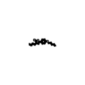 CCCCCOc1ccc(C2CC(CCCC)C(=O)O2)cc1